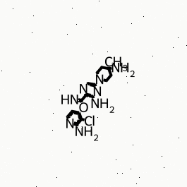 CC1(N)CCN(c2cnc(C(=N)Oc3ccnc(N)c3Cl)c(N)n2)CC1